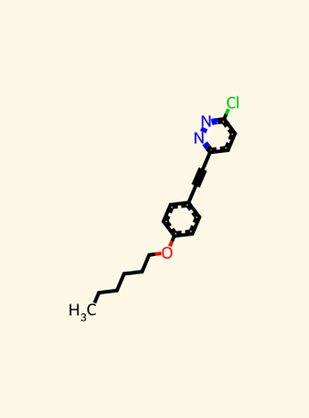 CCCCCCOc1ccc(C#Cc2ccc(Cl)nn2)cc1